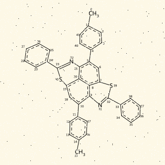 Cc1ccc(-c2cc3c4c(c(-c5ccc(C)cc5)cc5c4c2N=C(c2ccccc2)S5)N=C(c2ccccc2)S3)cc1